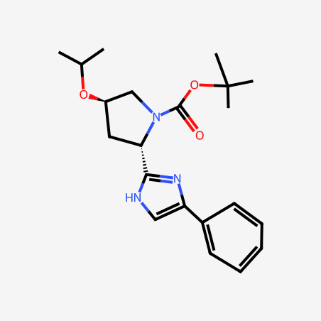 CC(C)O[C@@H]1C[C@@H](c2nc(-c3ccccc3)c[nH]2)N(C(=O)OC(C)(C)C)C1